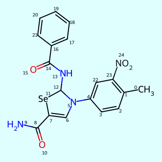 Cc1ccc(N2C=C(C(N)=O)[Se]C2NC(=O)c2ccccc2)cc1[N+](=O)[O-]